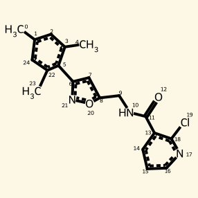 Cc1cc(C)c(-c2cc(CNC(=O)c3cccnc3Cl)on2)c(C)c1